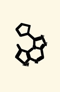 Cc1c[nH]c2ncc3nnc(C4CCCC4)n3c12